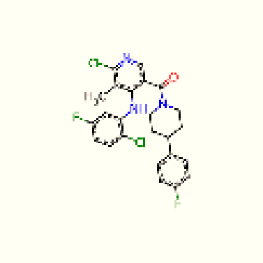 Cc1c(Cl)ncc(C(=O)N2CCC(c3ccc(F)cc3)CC2)c1Nc1cc(F)ccc1Cl